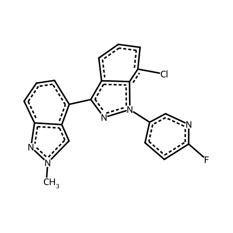 Cn1cc2c(-c3nn(-c4ccc(F)nc4)c4c(Cl)cccc34)cccc2n1